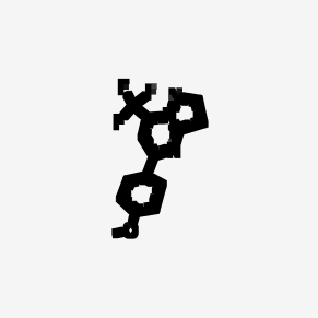 COc1ccc(-c2cc(C(F)(F)F)n3nccc3n2)cc1